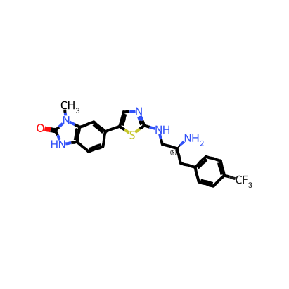 Cn1c(=O)[nH]c2ccc(-c3cnc(NC[C@@H](N)Cc4ccc(C(F)(F)F)cc4)s3)cc21